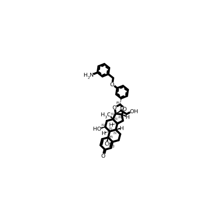 C[C@]12C=CC(=O)C=C1CC[C@@H]1[C@@H]2[C@@H](O)C[C@@]2(C)[C@H]1C[C@H]1O[C@@H](c3cccc(OCc4cccc(N)c4)c3)O[C@]12C(=O)CO